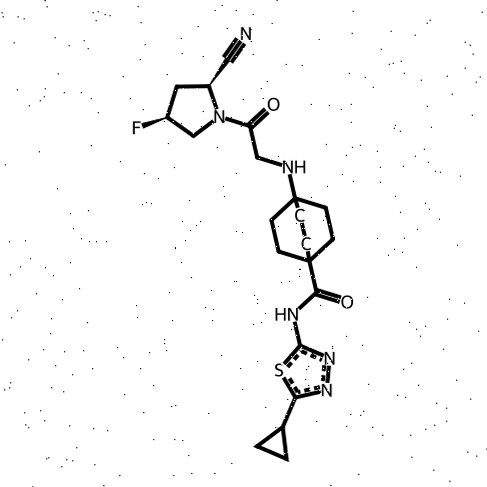 N#C[C@@H]1C[C@H](F)CN1C(=O)CNC12CCC(C(=O)Nc3nnc(C4CC4)s3)(CC1)CC2